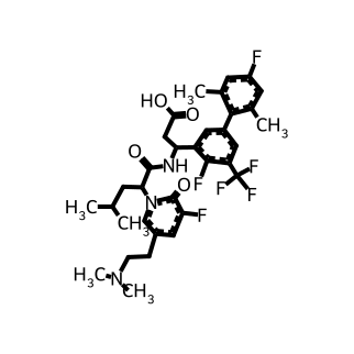 Cc1cc(F)cc(C)c1-c1cc(C(CC(=O)O)NC(=O)C(CC(C)C)n2cc(CCN(C)C)cc(F)c2=O)c(F)c(C(F)(F)F)c1